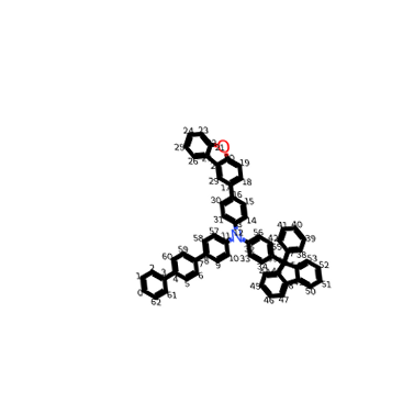 c1ccc(-c2ccc(-c3ccc(N(c4ccc(-c5ccc6oc7ccccc7c6c5)cc4)c4ccc(C5(c6ccccc6)c6ccccc6-c6ccccc65)cc4)cc3)cc2)cc1